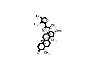 CC(=O)O[C@H]1C[C@@]2(C)C3CCC4[C@H](C)C(=O)C=C[C@@]45C[C@@]35CC[C@]2(C)[C@H]1[C@H](C)C(=O)C1=C(C)C(C)CO1